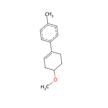 COC1CC=C(c2ccc(C)cc2)CC1